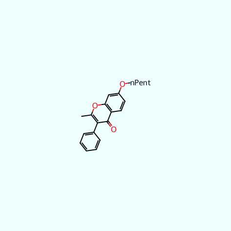 CCCCCOc1ccc2c(=O)c(-c3ccccc3)c(C)oc2c1